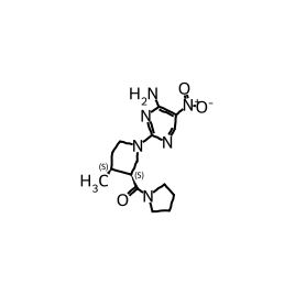 C[C@H]1CCN(c2ncc([N+](=O)[O-])c(N)n2)C[C@H]1C(=O)N1CCCC1